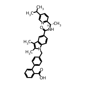 Cc1c(C)n(Cc2ccc(-c3ccccc3C(=O)O)cc2)c2ccc(C(=O)N[C@@H](C)c3ccc(C(C)C)cn3)cc12